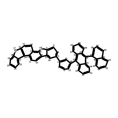 c1cc(-c2ccc3sc4c(ccc5c4ccc4sc6ccccc6c45)c3c2)cc(-c2c3ccccc3c(-c3cccc4ccccc34)c3ccccc23)c1